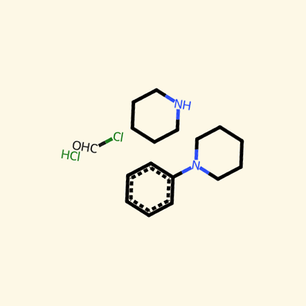 C1CCNCC1.Cl.O=CCl.c1ccc(N2CCCCC2)cc1